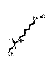 O=C=NCCCCCCNC(=O)OCC(F)(F)F